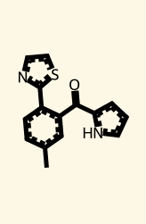 Cc1ccc(-c2nccs2)c(C(=O)c2ccc[nH]2)c1